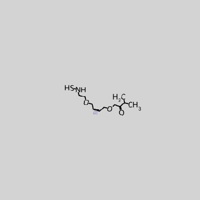 CC(C)C(=O)COC/C=C\COCCNS